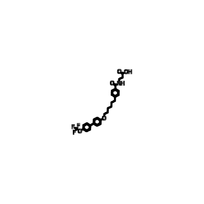 O=C(O)CCNC(=O)c1ccc(CCCCCCOc2ccc(-c3ccc(OC(F)(F)F)cc3)cc2)cc1